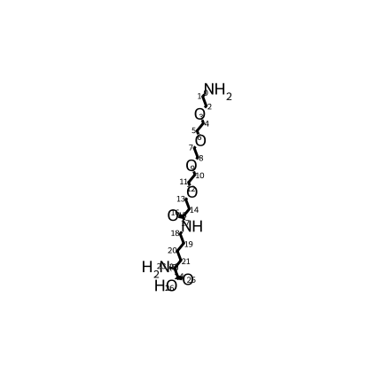 NCCOCCOCCOCCOCCC(=O)NCCCC[C@H](N)C(=O)O